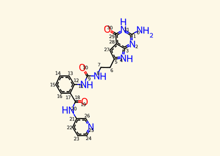 Nc1nc2[nH]c(CCNC(=O)Nc3ccccc3C(=O)Nc3cccnc3)cc2c(=O)[nH]1